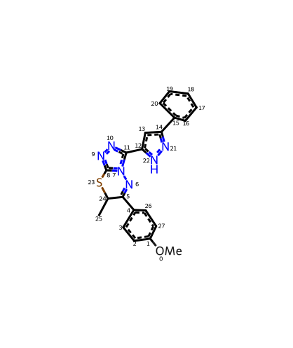 COc1ccc(C2=Nn3c(nnc3-c3cc(-c4ccccc4)n[nH]3)SC2C)cc1